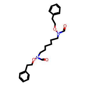 O=CN(CCCCCCN(C=O)OCCc1ccccc1)OCCc1ccccc1